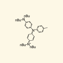 CCCCN(CCCC)c1ccc([N+](=C2C=CC(=[N+](CCCC)CCCC)C=C2)c2ccc(C)cc2)cc1